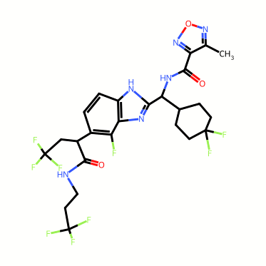 Cc1nonc1C(=O)NC(c1nc2c(F)c(C(CC(F)(F)F)C(=O)NCCC(F)(F)F)ccc2[nH]1)C1CCC(F)(F)CC1